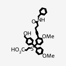 COc1ccc(C(SCCC(=O)O)(c2ccc(CO)cc2)c2ccc(OC)c(C#CCCC(=O)NCc3ccccc3)c2)cc1